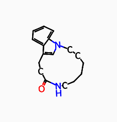 O=C1CCc2cn(c3ccccc23)CCCCCCN1